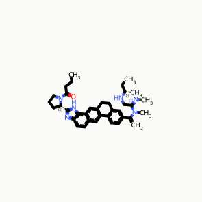 C=C(c1ccc2c(c1)CCc1cc3c(ccc4nc([C@@H]5CCCN5C(=O)CCC)[nH]c43)cc1-2)N(C)/C(CN[C@@H](C)CC)=N\C